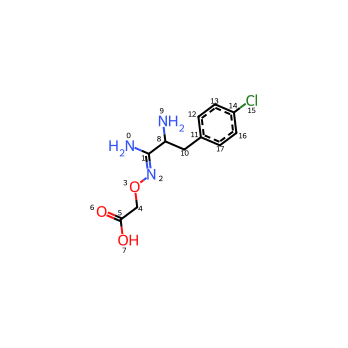 NC(=NOCC(=O)O)C(N)Cc1ccc(Cl)cc1